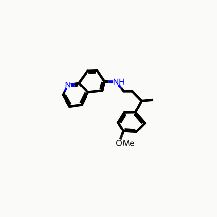 COc1ccc(C(C)CCNc2ccc3ncccc3c2)cc1